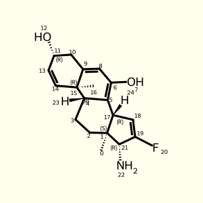 C[C@]12CC[C@H]3C(=C(O)C=C4C[C@@H](O)C=C[C@@]43C)[C@@H]1C=C(F)[C@@H]2N